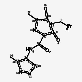 CC(C)Cn1c(=O)c(C(=O)Nc2nnnn2C)nn(C)c1=O